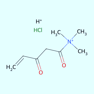 C=CC(=O)CC(=O)[N+](C)(C)C.Cl.[H+]